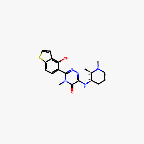 C[C@@H]1[C@H](Nc2nnc(-c3ccc4sccc4c3O)n(C)c2=O)CCCN1C